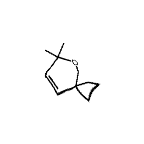 CC1(C)C=CC2(CC2)O1